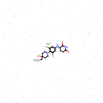 Cl.O=C(O)CC1(O)CCN(c2c(F)cc(NC3CCC(=O)NC3=O)cc2F)CC1